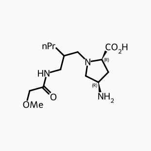 CCCC(CNC(=O)COC)CN1C[C@H](N)C[C@@H]1C(=O)O